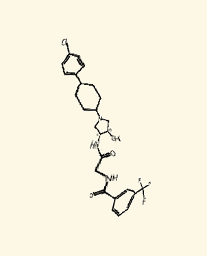 O=C(CNC(=O)c1cccc(C(F)(F)F)c1)N[C@H]1CN(C2CCC(c3ccc(Cl)cc3)CC2)C[C@H]1O